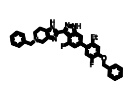 CCc1cc(OCc2ccccc2)c(F)cc1-c1cc(F)c2c(-c3nc4c([nH]3)CCN(Cc3ccccc3)C4)n[nH]c2c1